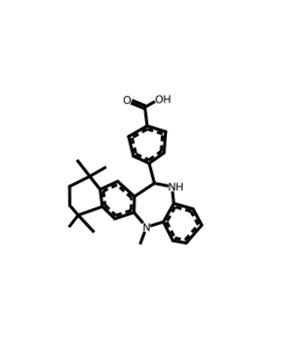 CN1c2ccccc2NC(c2ccc(C(=O)O)cc2)c2cc3c(cc21)C(C)(C)CCC3(C)C